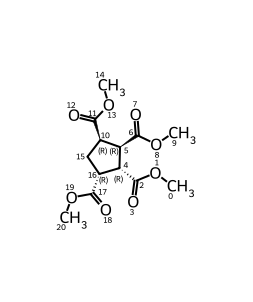 COC(=O)[C@H]1[C@H](C(=O)OC)[C@H](C(=O)OC)C[C@H]1C(=O)OC